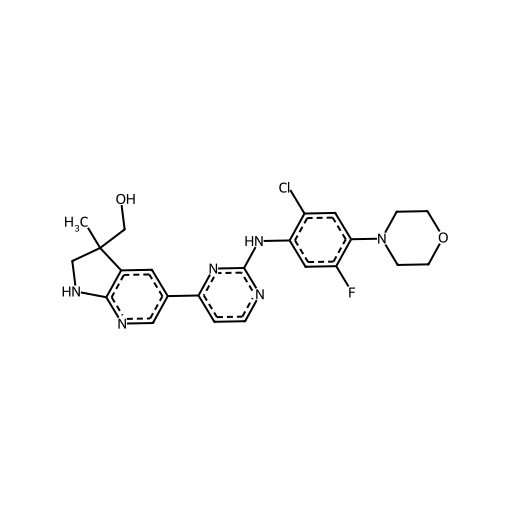 CC1(CO)CNc2ncc(-c3ccnc(Nc4cc(F)c(N5CCOCC5)cc4Cl)n3)cc21